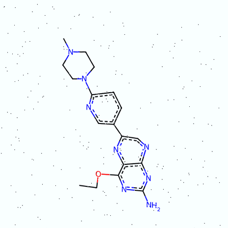 CCOc1nc(N)nc2ncc(-c3ccc(N4CCN(C)CC4)nc3)nc12